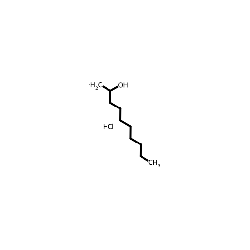 Cl.[CH2]C(O)CCCCCCCC